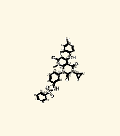 Cn1c(=O)cc(Nc2ccc(Br)cc2F)c2c(=O)n(C3CC3)c(=O)n(-c3cccc(NS(=O)(=O)c4ccccc4)c3)c21